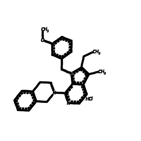 CCc1c(C)c2ccnc(N3CCc4ccccc4C3)c2n1Cc1cccc(OC)c1.Cl